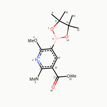 CNc1nc(OC)c(B2OC(C)(C)C(C)(C)O2)cc1C(=O)OC